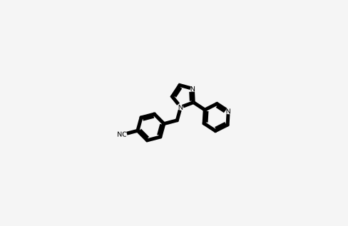 N#Cc1ccc(Cn2ccnc2-c2cccnc2)cc1